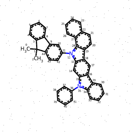 CC1(C)c2ccccc2-c2cc(-n3c4cc5c(cc4c4ccc6ccccc6c43)c3ccccc3n5-c3ccccc3)ccc21